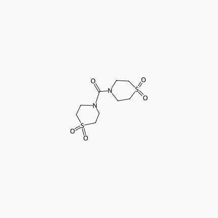 O=C(N1CCS(=O)(=O)CC1)N1CCS(=O)(=O)CC1